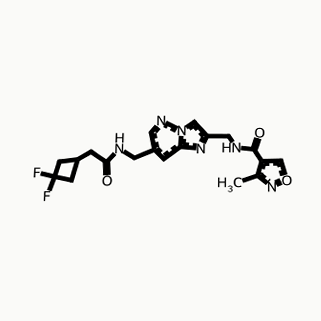 Cc1nocc1C(=O)NCc1cn2ncc(CNC(=O)CC3CC(F)(F)C3)cc2n1